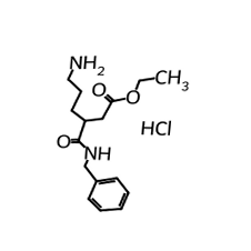 CCOC(=O)CC(CCCN)C(=O)NCc1ccccc1.Cl